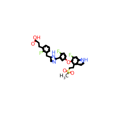 CS(=O)(=O)CCc1c(Oc2ccc(F)c(-c3ncc(Cc4cccc(CCC(=O)O)c4F)[nH]3)c2)c(F)cc2[nH]ccc12